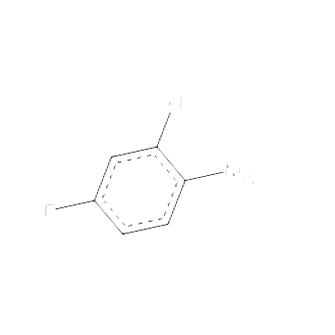 O=[N+]([O-])c1c[c]c(F)cc1Cl